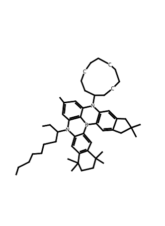 CCCCCCCC(CC)N1c2cc3c(cc2B2c4cc5c(cc4N(C4CCCCCCCCCC4)c4cc(C)cc1c42)CC(C)(C)C5)C(C)(C)CCC3(C)C